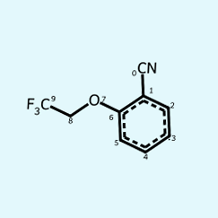 N#Cc1c[c]ccc1OCC(F)(F)F